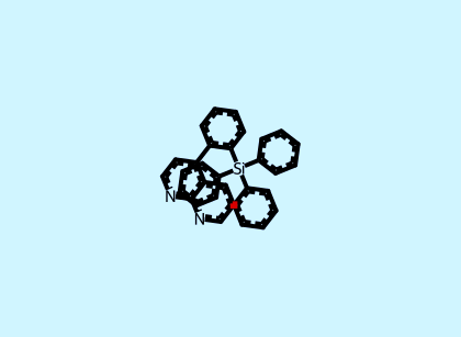 c1ccc([Si](c2ccccc2)(c2ccccc2)c2ccccc2-c2ccnc3ncccc23)cc1